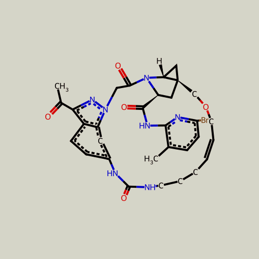 CC(=O)c1nn2c3cc(ccc13)NC(=O)NCCC/C=C\COC[C@@]13C[C@@H](C(=O)Nc4nc(Br)ccc4C)N(C(=O)C2)[C@@H]1C3